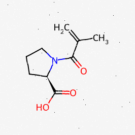 C=C(C)C(=O)N1CCC[C@@H]1C(=O)O